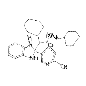 N#Cc1ccc(C2(C(C(=O)NC3CCCCC3)C3CCCCC3)Nc3ccccc3N2)cn1